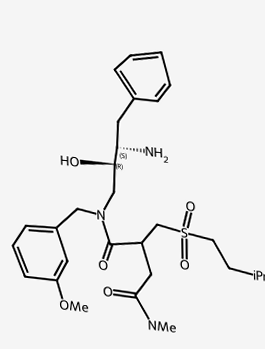 CNC(=O)CC(CS(=O)(=O)CCC(C)C)C(=O)N(Cc1cccc(OC)c1)C[C@@H](O)[C@@H](N)Cc1ccccc1